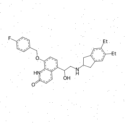 CCc1cc2c(cc1CC)CC(NCC(O)c1ccc(OCc3ccc(F)cc3)c3[nH]c(=O)ccc13)C2